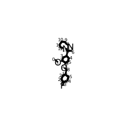 COc1cc(-c2cnc3ccccn23)ccc1OCc1ccc(F)cc1